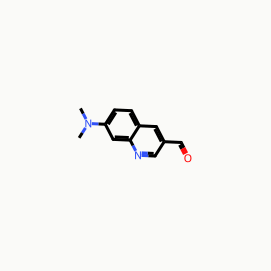 CN(C)c1ccc2cc(C=O)cnc2c1